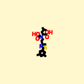 Cc1cc(C)cc(-c2nc(CCN(C(=O)O)C(CC(C)C)C(=O)O)cs2)c1